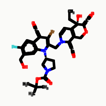 CC[C@@]1(O)C(=C=O)OCC2=C1C=CN(CC1=C(Br)C(=C=O)c3cc(F)c(CO)cc3N1[C@@H]1CCN(C(=O)OC(C)(C)C)C1)C2=C=O